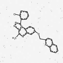 Cc1nc2cc(OCc3ccc4ccccc4n3)ccc2n2c(-c3ccccc3Cl)nnc12